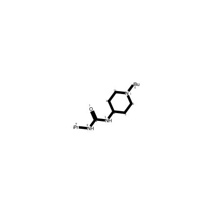 CCC(C)N1CCC(NC(=O)NC(C)C)CC1